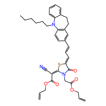 C=CCOC(=O)Cn1c(=O)/c(=C/C=C/c2ccc3c(c2)CCc2ccccc2N3CCCCCC)s/c1=C(\C#N)C(=O)OCC=C